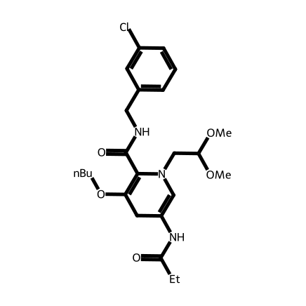 CCCCOC1=C(C(=O)NCc2cccc(Cl)c2)N(CC(OC)OC)C=C(NC(=O)CC)C1